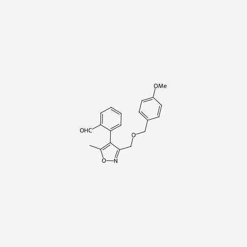 COc1ccc(COCc2noc(C)c2-c2ccccc2C=O)cc1